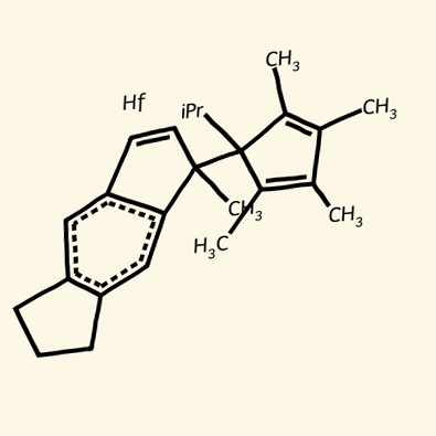 CC1=C(C)C(C(C)C)(C2(C)C=Cc3cc4c(cc32)CCC4)C(C)=C1C.[Hf]